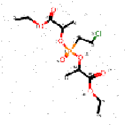 CCOC(=O)C(C)OP(=O)(CCCl)OC(C)C(=O)OCC